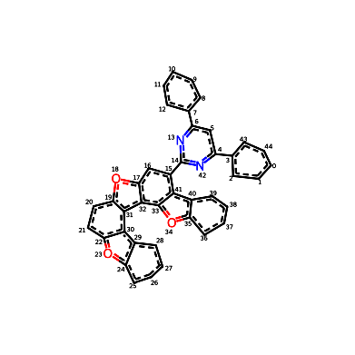 c1ccc(-c2cc(-c3ccccc3)nc(-c3cc4oc5ccc6oc7ccccc7c6c5c4c4oc5ccccc5c34)n2)cc1